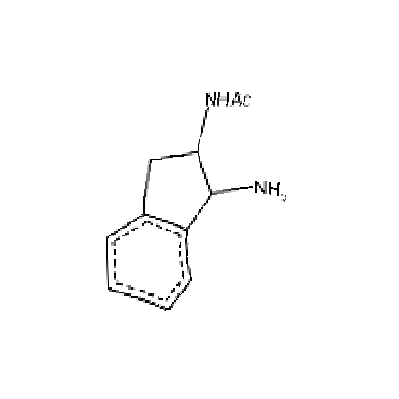 CC(=O)NC1Cc2ccccc2C1N